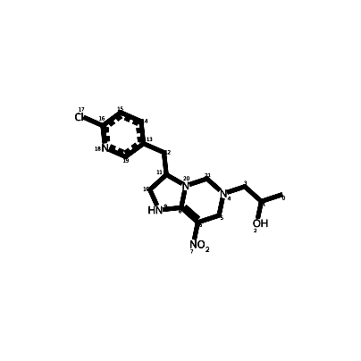 CC(O)CN1CC([N+](=O)[O-])=C2NCC(Cc3ccc(Cl)nc3)N2C1